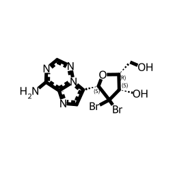 Nc1ncnn2c([C@@H]3O[C@H](CO)[C@H](O)C3(Br)Br)cnc12